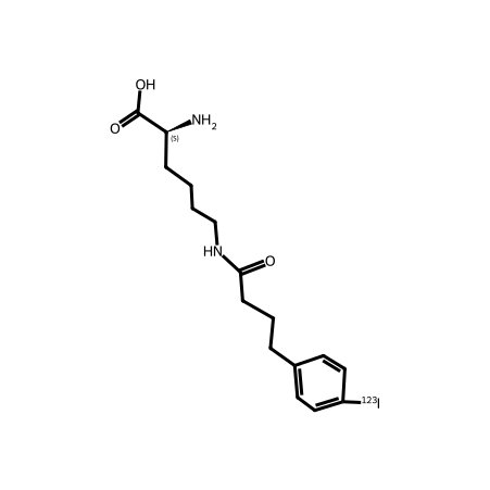 N[C@@H](CCCCNC(=O)CCCc1ccc([123I])cc1)C(=O)O